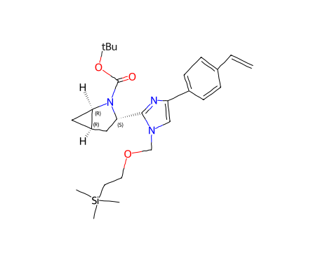 C=Cc1ccc(-c2cn(COCC[Si](C)(C)C)c([C@@H]3C[C@H]4C[C@H]4N3C(=O)OC(C)(C)C)n2)cc1